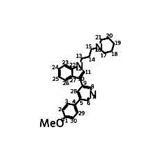 COc1ccc(-c2cncc(-c3cn(CCCN4CCCCC4)c4ccccc34)c2)cc1